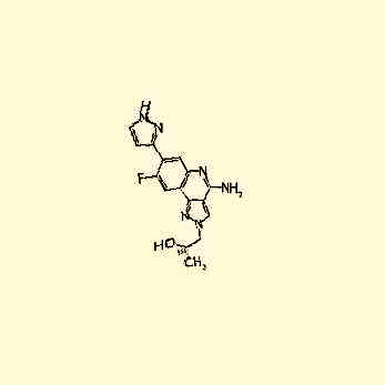 C[C@H](O)Cn1cc2c(N)nc3cc(-c4cc[nH]n4)c(F)cc3c2n1